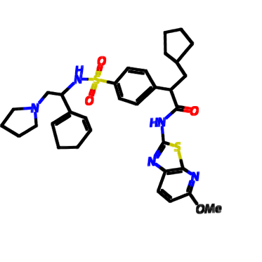 COc1ccc2nc(NC(=O)C(CC3CCCC3)c3ccc(S(=O)(=O)NC(CN4CCCC4)C4=CCCC=C4)cc3)sc2n1